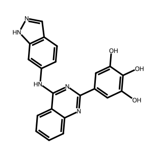 Oc1cc(-c2nc(Nc3ccc4cn[nH]c4c3)c3ccccc3n2)cc(O)c1O